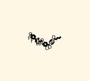 CCCCC(=O)N1CCN(C(=O)c2ccc(NC(=O)c3ncc(-c4ccc(OC)c(F)c4F)n3C)cc2Cl)CC1